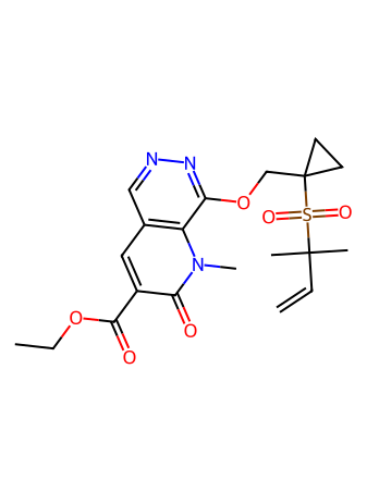 C=CC(C)(C)S(=O)(=O)C1(COc2nncc3cc(C(=O)OCC)c(=O)n(C)c23)CC1